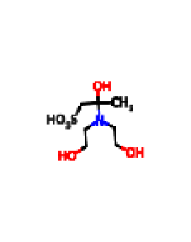 CC(O)(CS(=O)(=O)O)N(CCO)CCO